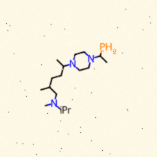 CC(CCC(C)N1CCN(C(C)P)CC1)CN(C)C(C)C